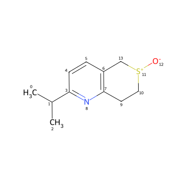 CC(C)c1ccc2c(n1)CC[S+]([O-])C2